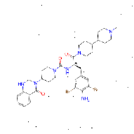 CN1CCC(C2CCN(C(=O)[C@@H](Cc3cc(Br)c(N)c(Br)c3)NC(=O)N3CCC(N4CNc5ccccc5C4=O)CC3)CC2)CC1